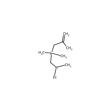 C=C(C)C[Si](C)(C)CN(C)CC